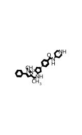 C[C@@H](NC1CC[C@H](c2ccc(C(=O)NC3CCNCC3)cc2)C1)c1cc(-c2ccccc2)n(C)n1